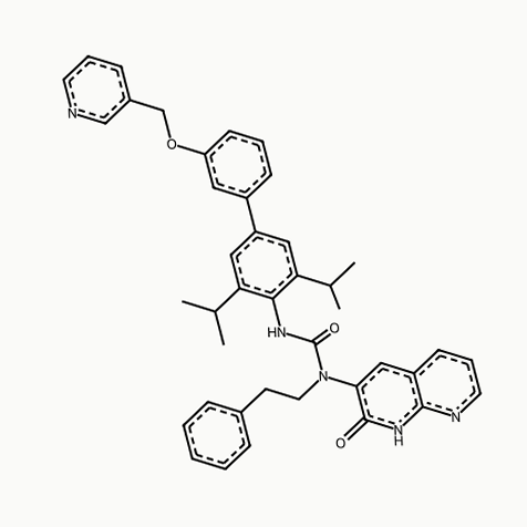 CC(C)c1cc(-c2cccc(OCc3cccnc3)c2)cc(C(C)C)c1NC(=O)N(CCc1ccccc1)c1cc2cccnc2[nH]c1=O